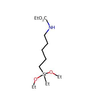 CCOC(=O)NCCCCC[Si](CC)(OCC)OCC